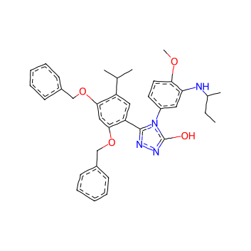 CCC(C)Nc1cc(-n2c(O)nnc2-c2cc(C(C)C)c(OCc3ccccc3)cc2OCc2ccccc2)ccc1OC